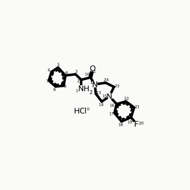 Cl.NC(Cc1ccccc1)C(=O)N1CCN(c2ccc(F)cc2)CC1